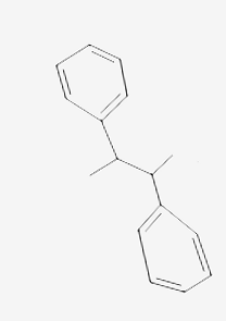 CC(c1ccccc1)C(P)c1ccccc1